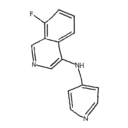 Fc1cccc2c(Nc3ccncc3)cncc12